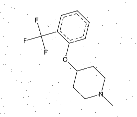 CN1CCC(Oc2ccccc2C(F)(F)F)CC1